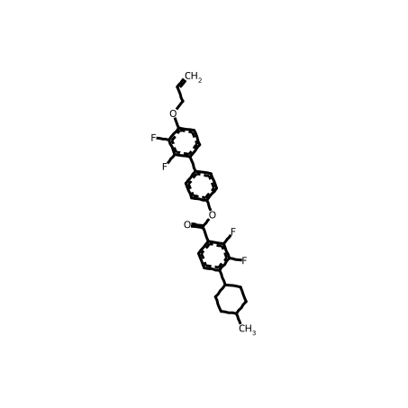 C=CCOc1ccc(-c2ccc(OC(=O)c3ccc(C4CCC(C)CC4)c(F)c3F)cc2)c(F)c1F